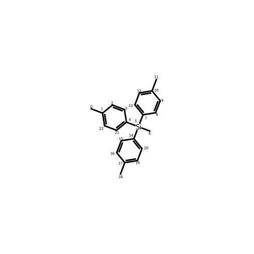 Cc1ccc([Si](C)(c2ccc(C)cc2)c2ccc(C)cc2)cc1